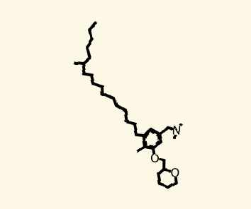 CCCCCC(C)CCCCCCCCCCCc1cc(CN(C)C)cc(OCC2CCCCO2)c1C